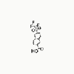 O=C(O)c1ccc2cc(S(=O)(=O)C(F)(F)F)ccc2c1